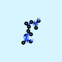 c1ccc(-c2nc(-c3cccnc3)nc(-c3cccc(-n4c5ccccc5c5cc(-c6ccc7c(c6)c6ccccc6n7-c6ccnc(-c7nc(-c8ccccc8)nc(-c8cccnc8)n7)n6)ccc54)c3)n2)cc1